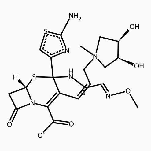 CON=CC(=O)NC1(c2csc(N)n2)S[C@H]2CC(=O)N2C(C(=O)[O-])=C1/C=C\C[N+]1(C)C[C@@H](O)[C@@H](O)C1